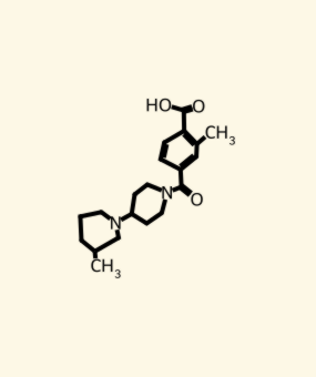 Cc1cc(C(=O)N2CCC(N3CCCC(C)C3)CC2)ccc1C(=O)O